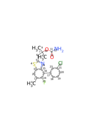 Cc1cc2sc(CC(C)(C)OC(N)=O)nc2c(-c2cccc(Cl)c2)c1F